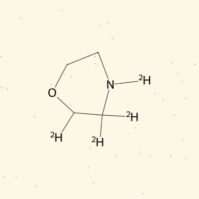 [2H]C1OCCN([2H])C1([2H])[2H]